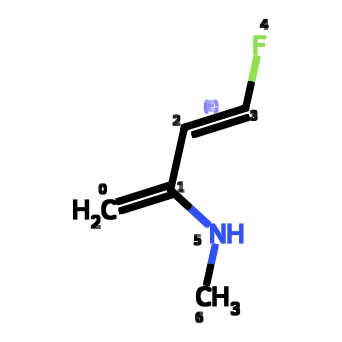 C=C(/C=C/F)NC